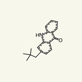 CC(C)(C)Cc1ccc2c(=O)c3ccccc3[nH]c2c1